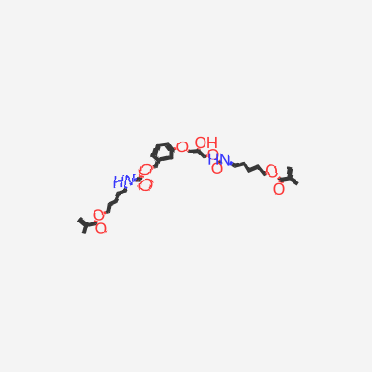 C=C(C)C(=O)OCCCCCNC(=O)OCc1cccc(OCC(O)COC(=O)NCCCCCOC(=O)C(=C)C)c1